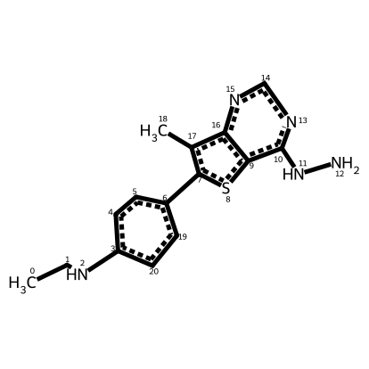 CCNc1ccc(-c2sc3c(NN)ncnc3c2C)cc1